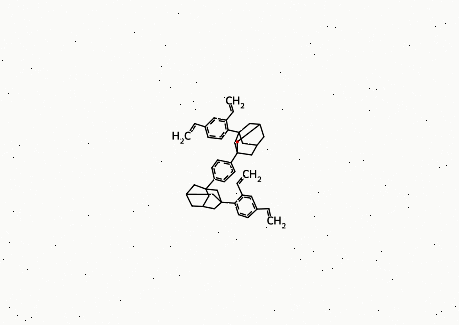 C=Cc1ccc(C23CC4CC(CC(c5ccc(C67CC8CC(C6)CC(c6ccc(C=C)cc6C=C)(C8)C7)cc5)(C4)C2)C3)c(C=C)c1